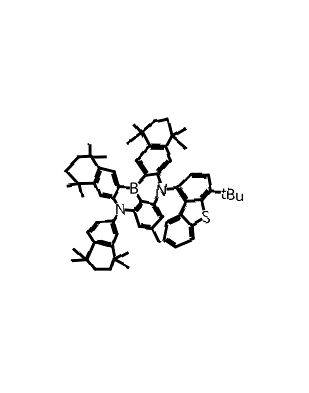 Cc1cc2c3c(c1)N(c1ccc(C(C)(C)C)c4sc5ccccc5c14)c1cc4c(cc1B3c1cc3c(cc1N2c1ccc2c(c1)C(C)(C)CCC2(C)C)C(C)(C)CCC3(C)C)C(C)(C)CCC4(C)C